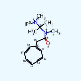 CC(C)N(C)C(C)(C)N(C)C(=O)CC1=C/C=C\C=C/C=C\1